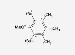 COc1c(C(C)(C)C)c(C)c(C)c(C)c1C(C)(C)C